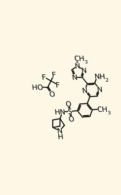 Cc1ccc(S(=O)(=O)NC23CNC(C2)C3)cc1-c1cnc(N)c(-c2ncn(C)n2)n1.O=C(O)C(F)(F)F